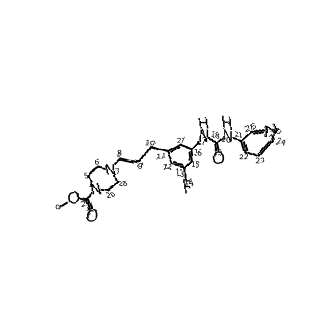 COC(=O)N1CCN(CCCc2cc(F)cc(NC(=O)Nc3cccnc3)c2)CC1